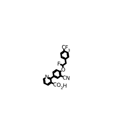 N#Cc1cc(-c2ncccc2C(=O)O)ccc1OC(F)Cc1ccc(C(F)(F)F)cc1